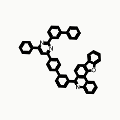 c1ccc(-c2cccc(-c3nc(-c4ccccc4)cc(-c4ccc(-c5cccc(-c6nc7ccccc7c7c6ccc6c8ccccc8oc67)c5)cc4)n3)c2)cc1